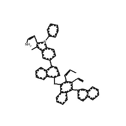 C=Cc1c(/C=C\C)c(Cc2ccc(-c3ccc4c(c3)c(C)c(/C=C\N)n4-c3ccccc3)c3ccccc23)c2ccccc2c1-c1ccc2ccccc2c1